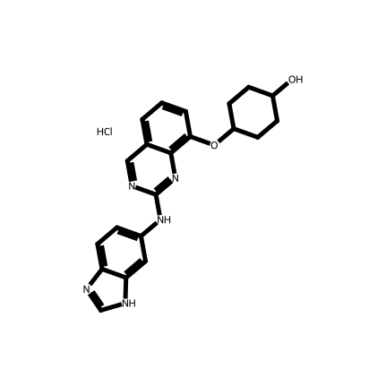 Cl.OC1CCC(Oc2cccc3cnc(Nc4ccc5nc[nH]c5c4)nc23)CC1